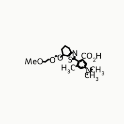 COCCOCOC1CCCc2nc(-c3c(C)cc(N(C)C)cc3C(=O)O)sc21